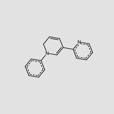 C1=CC(c2ccccn2)=CN(c2ccccc2)C1